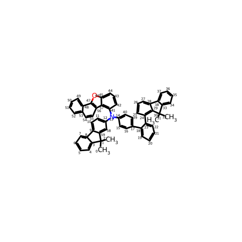 CC1(C)c2ccccc2-c2ccc(N(c3ccc(-c4ccccc4-c4cccc5c4C(C)(C)c4ccccc4-5)cc3)c3cccc4oc5c6ccccc6ccc5c34)cc21